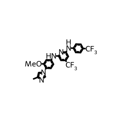 COc1cc(Nc2cc(C(F)(F)F)cc(Nc3ccc(C(F)(F)F)cc3)n2)ccc1-n1cnc(C)c1